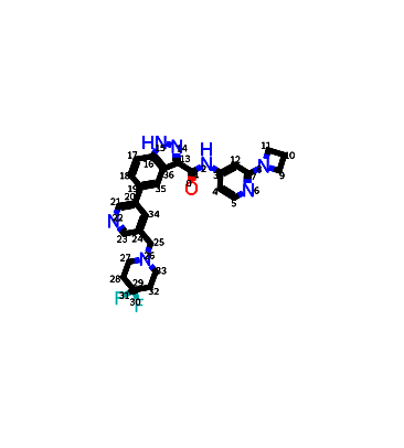 O=C(Nc1ccnc(N2CCC2)c1)c1n[nH]c2ccc(-c3cncc(CN4CCC(F)(F)CC4)c3)cc12